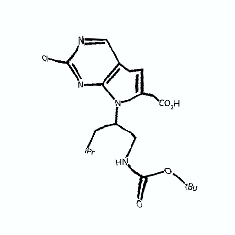 CC(C)CC(CNC(=O)OC(C)(C)C)n1c(C(=O)O)cc2cnc(Cl)nc21